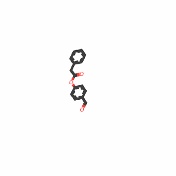 O=Cc1ccc(OC(=O)Cc2ccccc2)cc1